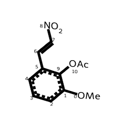 COc1cccc(C=C[N+](=O)[O-])c1OC(C)=O